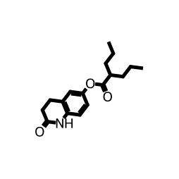 CCCC(CCC)C(=O)Oc1ccc2c(c1)CCC(=O)N2